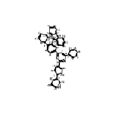 c1ccc(-c2cc(-c3ccc4c(c3)C3(c5ccccc5-c5ccccc53)c3ccccc3-4)nc(-c3ccc(-c4cccnc4)cc3)n2)cc1